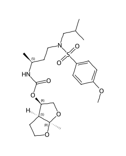 COc1ccc(S(=O)(=O)N(CC[C@H](C)NC(=O)O[C@H]2CO[C@@]3(C)OCC[C@@H]23)CC(C)C)cc1